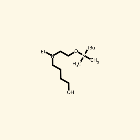 CCN(CCCCO)CCO[Si](C)(C)C(C)(C)C